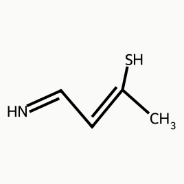 C/C(S)=C/C=N